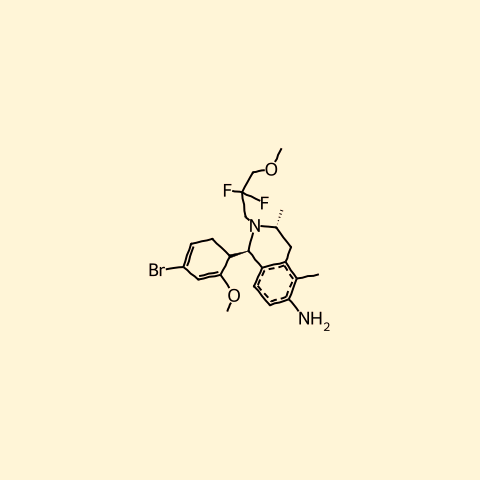 COCC(F)(F)CN1[C@H](C)Cc2c(ccc(N)c2C)[C@H]1C1CC=C(Br)C=C1OC